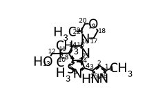 Cc1cc(-c2nsc3c(C(C)(C)CO)cc(N4CCOCC4C)nc23)[nH]n1